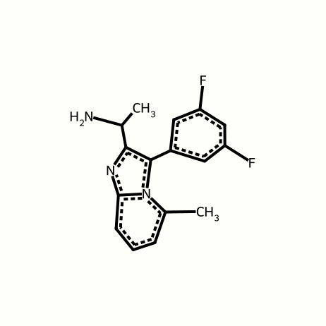 Cc1cccc2nc(C(C)N)c(-c3cc(F)cc(F)c3)n12